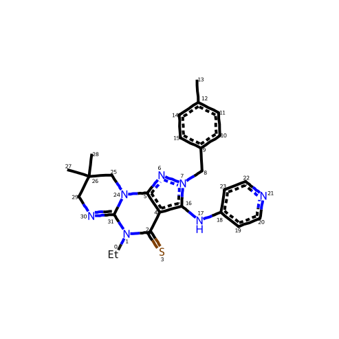 CCN1C(=S)c2c(nn(Cc3ccc(C)cc3)c2Nc2ccncc2)N2CC(C)(C)CN=C12